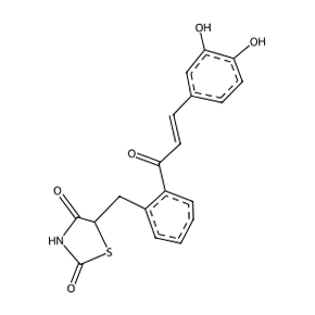 O=C1NC(=O)C(Cc2ccccc2C(=O)/C=C/c2ccc(O)c(O)c2)S1